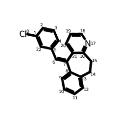 Clc1cccc(/C=C2/c3ccccc3CCc3ncccc32)c1